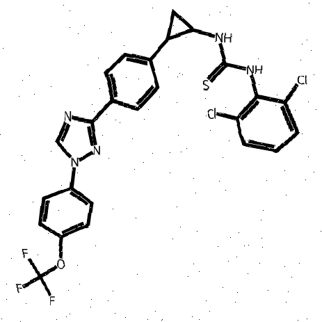 FC(F)(F)Oc1ccc(-n2cnc(-c3ccc(C4CC4NC(=S)Nc4c(Cl)cccc4Cl)cc3)n2)cc1